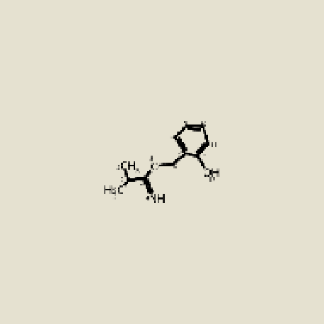 CC(C)C(=N)OCc1ccccc1O